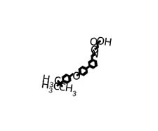 CC(C)(C)c1ccc(COc2ccc(-c3cccc(/C=N/OCC(=O)O)c3)cc2)cc1